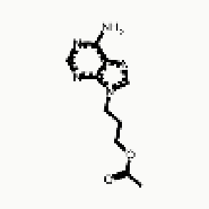 CC(=O)OCCCn1cnc2c(N)ncnc21